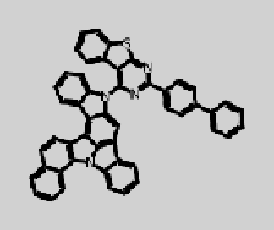 c1ccc(-c2ccc(-c3nc(-n4c5ccccc5c5c6c7ccc8ccccc8c7n7c8ccccc8c(cc54)c67)c4c(n3)sc3ccccc34)cc2)cc1